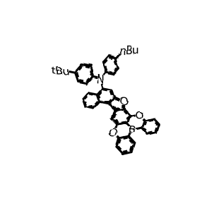 CCCCc1ccc(N(c2ccc(C(C)(C)C)cc2)c2cc3oc4c5c6c(cc4c3c3ccccc23)Oc2ccccc2B6c2ccccc2O5)cc1